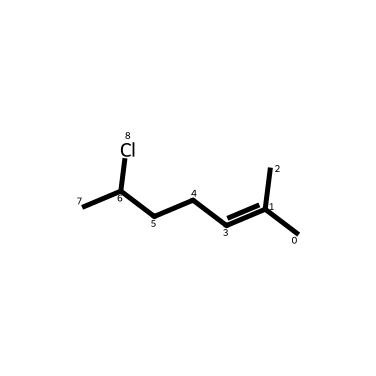 CC(C)=CCCC(C)Cl